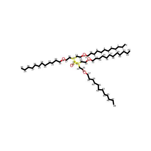 CCCCCCCCCCCCOCCS(CCOCCCCCCCCCCCC)=S(=O)=S(CCOCCCCCCCCCCCC)CCOCCCCCCCCCCCC